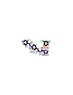 CO[C@@H]1CCN(S(=O)(=O)c2cc(Cl)cc(Cl)c2)C1C(=O)N[C@@H](Cc1ccc(NC(=O)c2c(Cl)cncc2Cl)cc1)C(=O)O